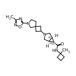 Cc1noc(N2CCC3(CC(N4C[C@@H]5[C@H](C4)[C@@H]5C(=O)NC4(C)CCC4)C3)C2)n1